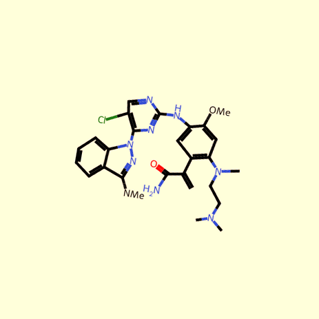 C=C(C(N)=O)c1cc(Nc2ncc(Cl)c(-n3nc(NC)c4ccccc43)n2)c(OC)cc1N(C)CCN(C)C